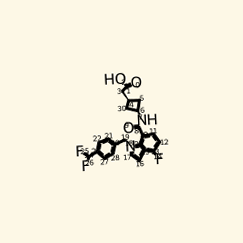 O=C(O)C[C@H]1C[C@@H](NC(=O)c2ccc(F)c3ccn(Cc4ccc(C(F)F)cc4)c23)C1